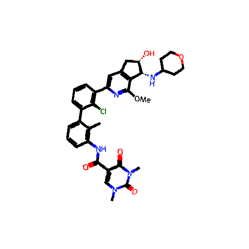 COc1nc(-c2cccc(-c3cccc(NC(=O)c4cn(C)c(=O)n(C)c4=O)c3C)c2Cl)cc2c1[C@@H](NC1CCOCC1)[C@@H](O)C2